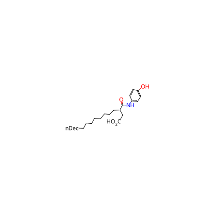 CCCCCCCCCCCCCCCCCCC(CC(=O)O)C(=O)Nc1ccc(O)cc1